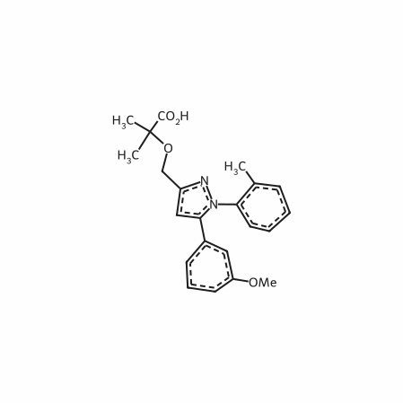 COc1cccc(-c2cc(COC(C)(C)C(=O)O)nn2-c2ccccc2C)c1